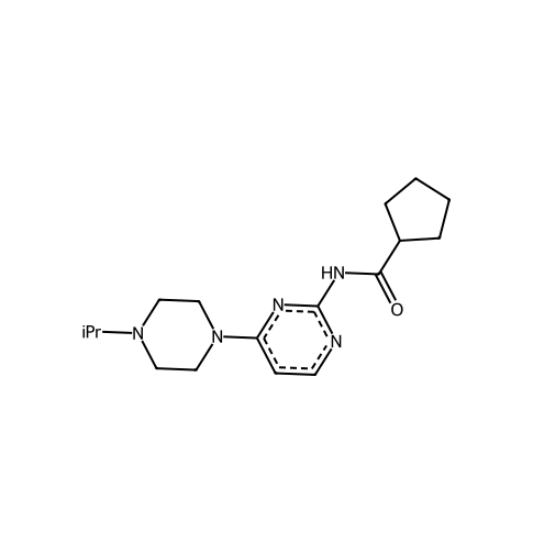 CC(C)N1CCN(c2ccnc(NC(=O)C3CCCC3)n2)CC1